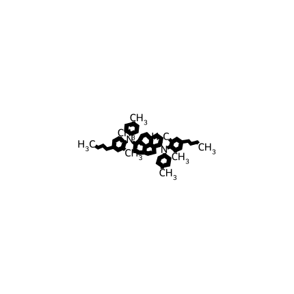 CCCCc1cc(C)c(N(c2ccc(C)cc2)c2ccc3ccc4c(N(c5ccc(C)cc5)c5c(C)cc(CCCC)cc5C)ccc5ccc2c3c54)c(C)c1